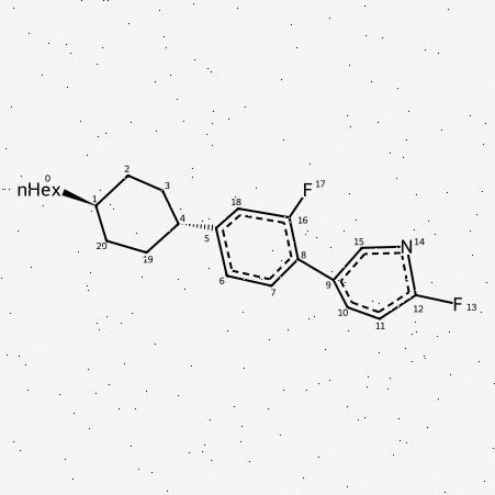 CCCCCC[C@H]1CC[C@H](c2ccc(-c3ccc(F)nc3)c(F)c2)CC1